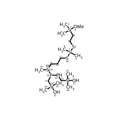 CO[Si](C)(C)CCS[Si](C)(C)SCCC[SiH](C)P(C[Si](C)(C)O)PC[Si](C)(C)O